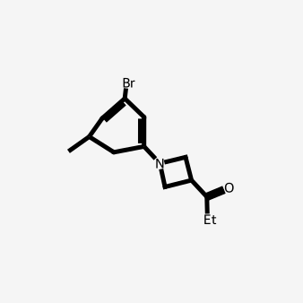 CCC(=O)C1CN(C2=CC(Br)=CC(C)C2)C1